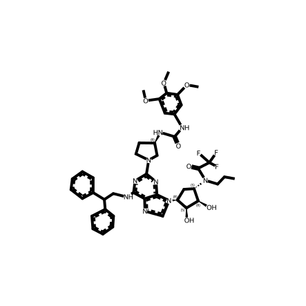 CCCN(C(=O)C(F)(F)F)[C@H]1C[C@@H](n2cnc3c(NCC(c4ccccc4)c4ccccc4)nc(N4CC[C@@H](NC(=O)Nc5cc(OC)c(OC)c(OC)c5)C4)nc32)[C@H](O)[C@@H]1O